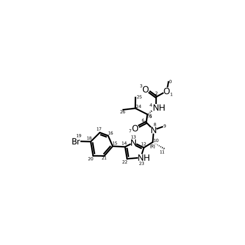 COC(=O)N[C@H](C(=O)N(C)[C@H](C)c1nc(-c2ccc(Br)cc2)c[nH]1)C(C)C